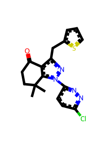 CC1(C)CCC(=O)c2c(Cc3cccs3)nn(-c3ccc(Cl)nn3)c21